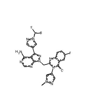 Cn1cc(-n2c(Cn3nc(-c4cnn(C(F)F)c4)c4c(N)ncnc43)nc3ccc(F)cc3c2=O)cn1